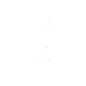 O=C(CCCN1CCC(Nc2ccc(Cl)cc2)CC1)N1CC[C@@H](Nc2ccc([N+](=O)[O-])c(C(F)(F)F)c2)C1